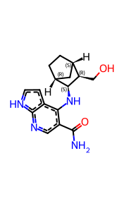 NC(=O)c1cnc2[nH]ccc2c1N[C@H]1[C@@H]2CC[C@@H](C2)[C@H]1CO